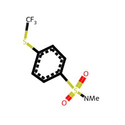 [CH2]NS(=O)(=O)c1ccc(SC(F)(F)F)cc1